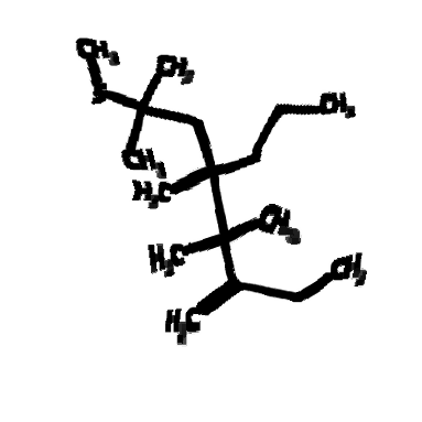 C=C(CC)C(C)(C)C(C)(CCC)CC(C)(C)SC